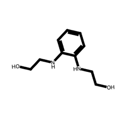 OCCNc1ccccc1NCCO